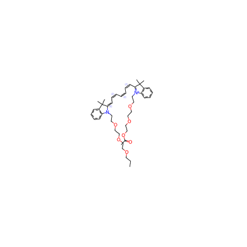 CCCOCCOCCOCCN1/C(=C/C=C\C=C/C=C\C2=[N+](CCOCCOCCOC(C)=O)c3ccccc3C2(C)C)C(C)(C)c2ccccc21